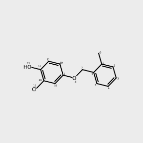 Cc1ccccc1COc1ccc(O)c(Cl)c1